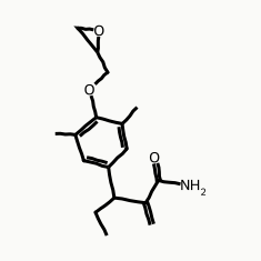 C=C(C(N)=O)C(CC)c1cc(C)c(OCC2CO2)c(C)c1